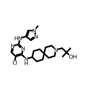 Cn1cc(Nc2ncc(Cl)c(NC3CCC4(CC3)CCN(CC(C)(C)O)CC4)n2)cn1